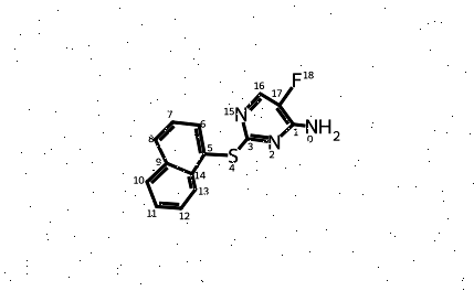 Nc1nc(Sc2cccc3ccccc23)ncc1F